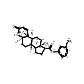 C[C@]12C=CC(=O)N[C@@H]1CC[C@@H]1[C@@H]2CC[C@]2(C)[C@@H](C(=O)Nc3cccc(N)c3)CC[C@@H]12